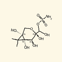 CC1(C)[C@]2(O)[C@H](O)[C@@](O)(C(O)OS(N)(=O)=O)OC[C@]12O